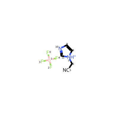 F[B-](F)(F)F.N#CC[NH+]1C=CN=C1